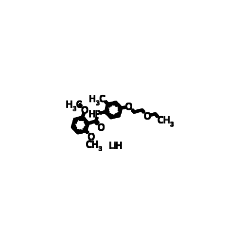 CCOCCOc1ccc(PC(=O)c2c(OC)cccc2OC)c(C)c1.[LiH]